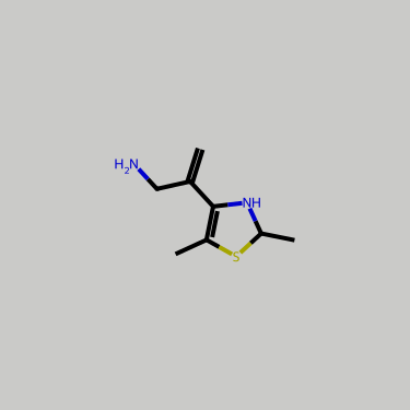 C=C(CN)C1=C(C)SC(C)N1